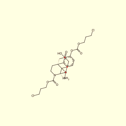 NOC12CCC(=O)C[C@@]13CCN(C(=O)OCCCCl)[C@@H]2Cc1ccc(OC(=O)OCCCCl)c(O)c13